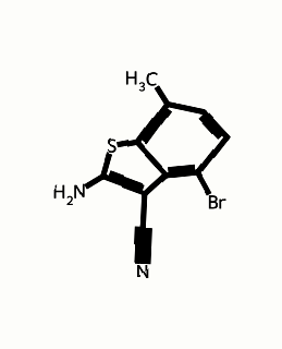 Cc1ccc(Br)c2c(C#N)c(N)sc12